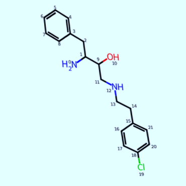 NC(Cc1ccccc1)C(O)CNCCc1ccc(Cl)cc1